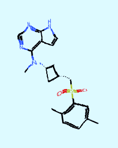 Cc1ccc(C)c(S(=O)(=O)C[C@H]2C[C@@H](N(C)c3ncnc4[nH]ccc34)C2)c1